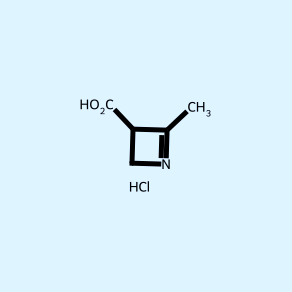 CC1=NCC1C(=O)O.Cl